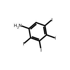 Nc1cc(I)c(I)c(I)c1I